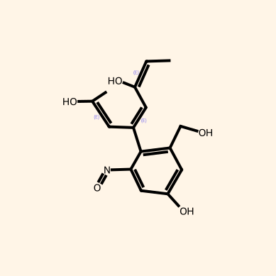 C\C=C(O)/C=C(\C=C(/C)O)c1c(CO)cc(O)cc1N=O